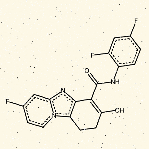 O=C(Nc1ccc(F)cc1F)C1=C(O)CCc2c1nc1cc(F)ccn21